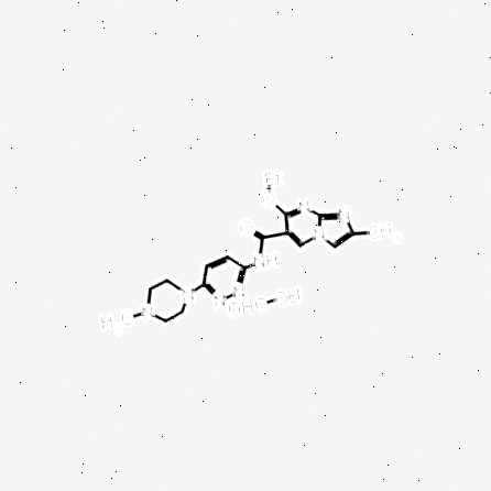 CCOc1nc2nc(C)cn2cc1C(=O)Nc1ccc(N2CCN(C)CC2)nn1.O=CO